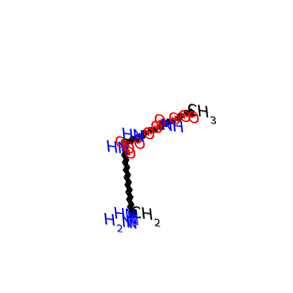 C=C(CCCCCCCCCCCCCCCC(=O)NS(=O)(=O)CCCC(=O)NCCOCCOCC(=O)NCCOCCOCC(C)=O)N/N=N\N